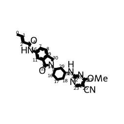 C/C=C/C(=O)Nc1ccc2c(c1)C(=O)N([C@H]1CCC[C@@H](Nc3ncc(C#N)c(OC)n3)C1)C2